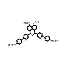 CCCCCCCCc1ccc(C(OC(c2ccc(CCCCCCCC)cc2)c2cnc(-c3ccc(CCCCC)cc3)nc2)c2cnc(-c3ccc(CCCCC)cc3)nc2)cc1